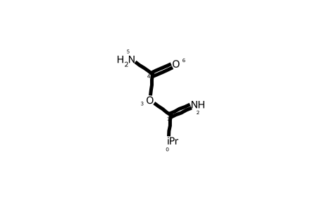 CC(C)C(=N)OC(N)=O